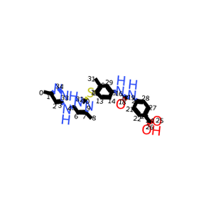 Cc1cc(Nc2cc(C)nc(Sc3ccc(NC(=O)Nc4ccc(C(=O)O)cc4)cc3C)n2)[nH]n1